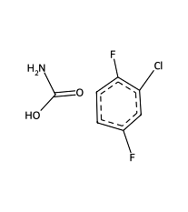 Fc1ccc(F)c(Cl)c1.NC(=O)O